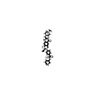 C#CCN(Cc1cc2c(=O)n(C)c(CN3CCN(CC)CC3)nc2cc1Cl)c1ccc(C(=O)NCc2cccnc2)cc1